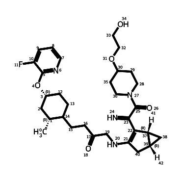 C[C@@H]1C[C@H](Oc2ncccc2F)CCC1CCC(=O)CNC1=C(C(=N)C(=O)N2CCC(OCCO)CC2)[C@@H]2C[C@@H]2C1